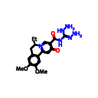 CC[C@@H]1Cc2cc(OC)c(OC)cc2-c2cc(=O)c(C(=O)N/C(=N/N)NN)cn21